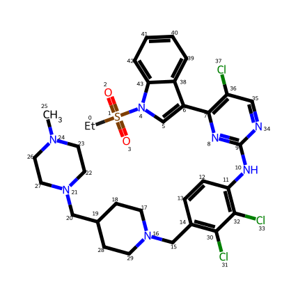 CCS(=O)(=O)n1cc(-c2nc(Nc3ccc(CN4CCC(CN5CCN(C)CC5)CC4)c(Cl)c3Cl)ncc2Cl)c2ccccc21